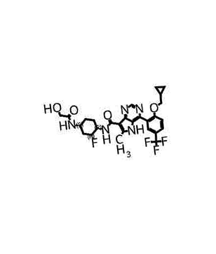 Cc1[nH]c2c(-c3cc(C(F)(F)F)ccc3OCC3CC3)ncnc2c1C(=O)N[C@@H]1CC[C@H](NC(=O)CO)C[C@H]1F